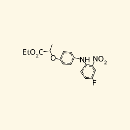 CCOC(=O)C(C)Oc1ccc(Nc2ccc(F)cc2[N+](=O)[O-])cc1